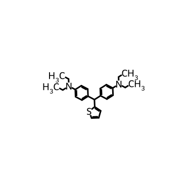 CCN(CC)c1ccc(C(c2ccc(N(CC)CC)cc2)c2cccs2)cc1